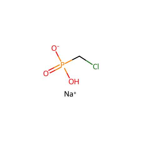 O=P([O-])(O)CCl.[Na+]